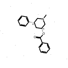 CN1C[C@H](OC(=O)c2ccccc2)C[C@H](c2ccccc2)C1